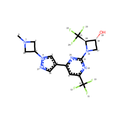 CN1CC(n2cc(-c3cc(C(F)(F)F)nc(N4C[C@@H](O)[C@@H]4C(F)(F)F)n3)cn2)C1